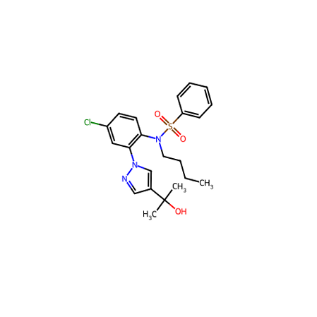 CCCCN(c1ccc(Cl)cc1-n1cc(C(C)(C)O)cn1)S(=O)(=O)c1ccccc1